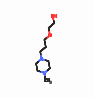 CN1CCN(CCCOCCO)CC1